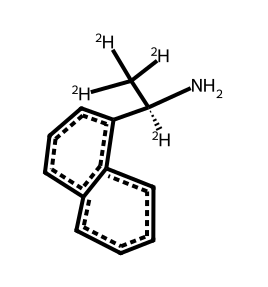 [2H]C([2H])([2H])[C@@]([2H])(N)c1cccc2ccccc12